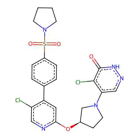 O=c1[nH]ncc(N2CC[C@@H](Oc3cc(-c4ccc(S(=O)(=O)N5CCCC5)cc4)c(Cl)cn3)C2)c1Cl